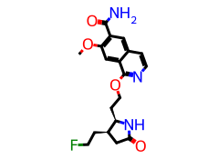 COc1cc2c(OCC[C@H]3NC(=O)C[C@H]3CCF)nccc2cc1C(N)=O